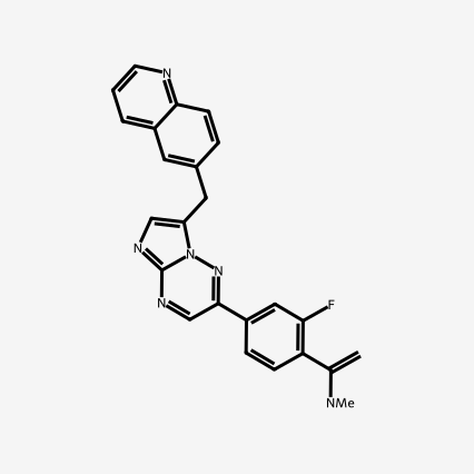 C=C(NC)c1ccc(-c2cnc3ncc(Cc4ccc5ncccc5c4)n3n2)cc1F